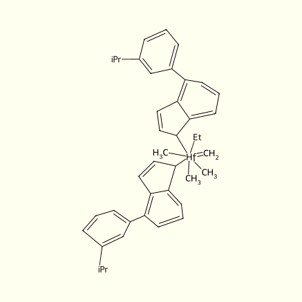 [CH2]=[Hf]([CH3])([CH3])([CH3])([CH2]C)([CH]1C=Cc2c(-c3cccc(C(C)C)c3)cccc21)[CH]1C=Cc2c(-c3cccc(C(C)C)c3)cccc21